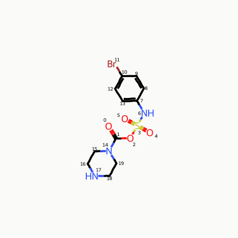 O=C(OS(=O)(=O)Nc1ccc(Br)cc1)N1CCNCC1